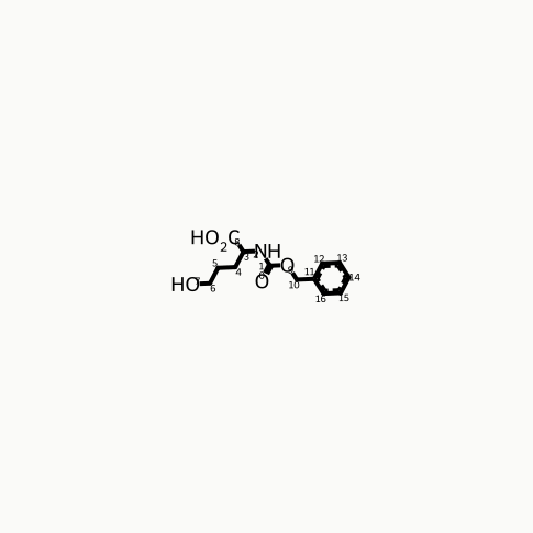 O=C(NC(CCCO)C(=O)O)OCc1ccccc1